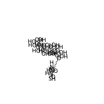 CC(=O)NC1C(OC2C(O)C(CO)OC(OC3C(CO)OC(OC4C(CO)OC(OCCCCCC[C@H](NC(C)=O)C(=O)NCNC(=O)CS)C(O)C4O)C(O)C3O)C2O)OC(CO)C(O)C1OC1OC(CO)C(O)C(O)C1O